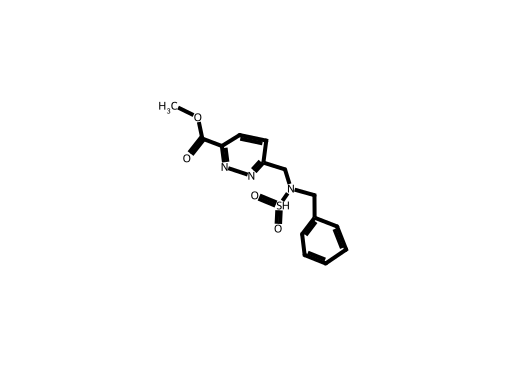 COC(=O)c1ccc(CN(Cc2ccccc2)[SH](=O)=O)nn1